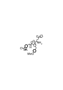 COc1ccc(CC2CC(C(=O)NCc3ccc4c(Cl)nn(C)c4c3)N(C(=O)C(N)CCC(=O)N3CCCC3)C2)cc1